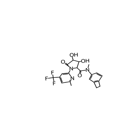 Cc1cc(C(F)(F)F)cc(N2C(=O)C(O)C(O)C2C(=O)N(C)c2ccc3c(c2)CC3)n1